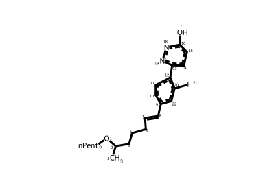 CCCCCOC(C)CCCC=Cc1ccc(-c2ccc(O)nn2)c(F)c1